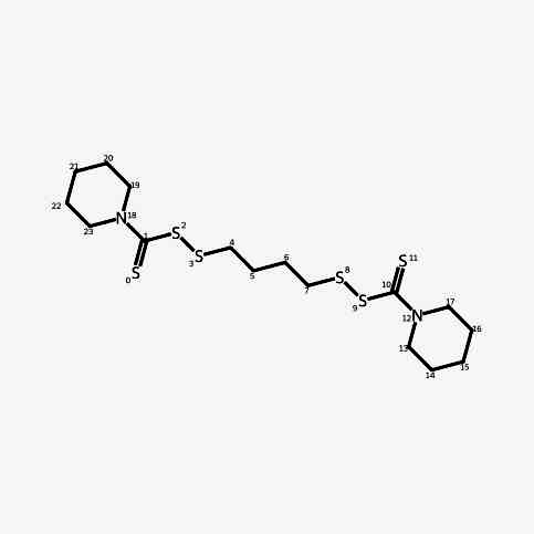 S=C(SSCCCCSSC(=S)N1CCCCC1)N1CCCCC1